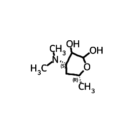 C[C@@H]1C[C@H](N(C)C)C(O)C(O)O1